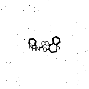 O=C(Nc1ccccn1)OC1CCOc2ccccc2C1=O